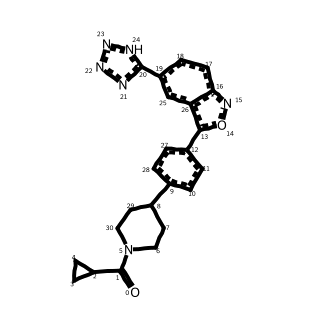 O=C(C1CC1)N1CCC(c2ccc(-c3onc4ccc(-c5nnn[nH]5)cc34)cc2)CC1